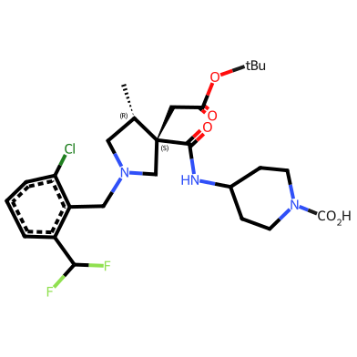 C[C@H]1CN(Cc2c(Cl)cccc2C(F)F)C[C@@]1(CC(=O)OC(C)(C)C)C(=O)NC1CCN(C(=O)O)CC1